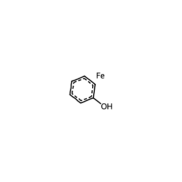 Oc1ccccc1.[Fe]